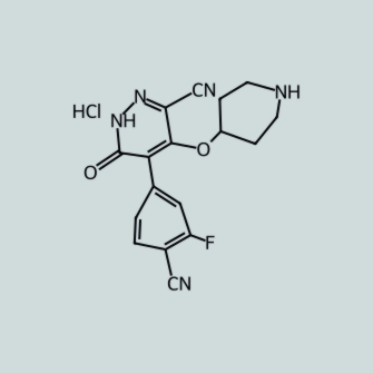 Cl.N#Cc1ccc(-c2c(OC3CCNCC3)c(C#N)n[nH]c2=O)cc1F